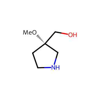 CO[C@@]1(CO)CCNC1